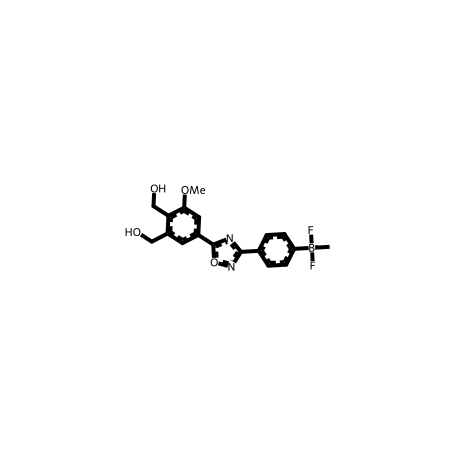 COc1cc(-c2nc(-c3ccc([B-](C)(F)F)cc3)no2)cc(CO)c1CO